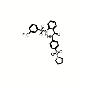 O=C(Nc1ccc(S(=O)(=O)N2CCCC2)cc1)c1ccccc1NS(=O)(=O)c1cccc(C(F)(F)F)c1